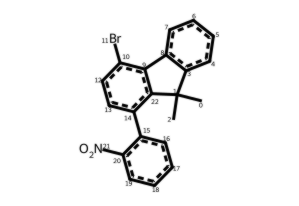 CC1(C)c2ccccc2-c2c(Br)ccc(-c3ccccc3[N+](=O)[O-])c21